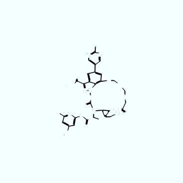 COc1cc(Br)nc(NC(=O)[C@@H]2C[C@]34CNC(=O)CCCCCCc5cc(-c6cnc(C)nc6)cc6c(C(C)=O)nn(c56)CC(=O)N2C3[C@@H]4C)c1